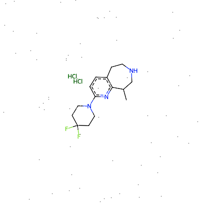 CC1CNCCc2ccc(N3CCC(F)(F)CC3)nc21.Cl.Cl